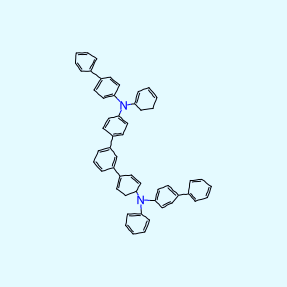 C1=CCCC(N(c2ccc(-c3ccccc3)cc2)c2ccc(-c3cccc(C4=CCC(N(c5ccccc5)c5ccc(-c6ccccc6)cc5)C=C4)c3)cc2)=C1